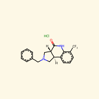 Cl.O=C1Nc2c(cccc2C(F)(F)F)[C@H]2CN(Cc3ccccc3)C[C@H]12